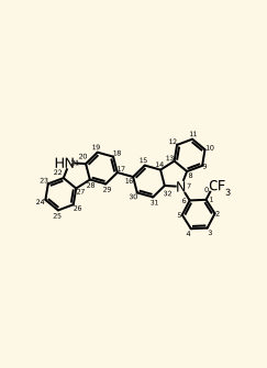 FC(F)(F)c1ccccc1N1c2ccccc2C2C=C(c3ccc4[nH]c5ccccc5c4c3)C=CC21